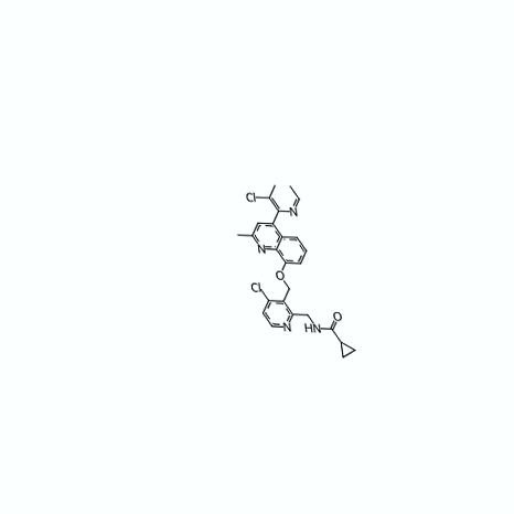 C/C=N\C(=C(/C)Cl)c1cc(C)nc2c(OCc3c(Cl)ccnc3CNC(=O)C3CC3)cccc12